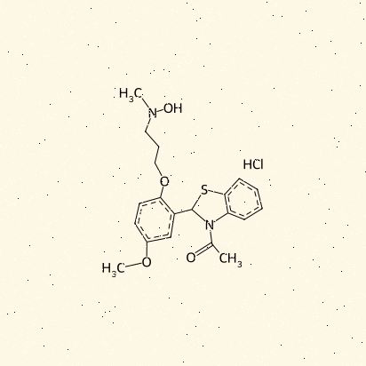 COc1ccc(OCCCN(C)O)c(C2Sc3ccccc3N2C(C)=O)c1.Cl